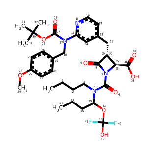 CCCCN(C(=O)N1C(=O)[C@H](Cc2ccnc(N(Cc3ccc(OC)cc3)C(=O)OC(C)(C)C)c2)[C@H]1C(=O)O)C(CCC)OC(O)(F)F